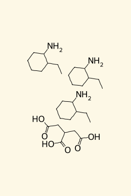 CCC1CCCCC1N.CCC1CCCCC1N.CCC1CCCCC1N.O=C(O)CC(CC(=O)O)C(=O)O